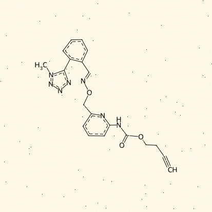 C#CCCOC(=O)Nc1cccc(CON=Cc2ccccc2-c2nnnn2C)n1